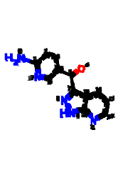 Nc1ccc(C(=O)c2n[nH]c3ncccc23)cn1